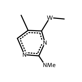 CNc1ncc(C)[c]([W][CH3])n1